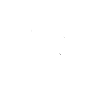 CCCCC(=O)Nc1ccc(C)cc1[N+](=O)[O-]